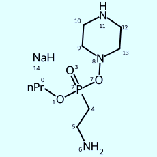 CCCOP(=O)(CCN)ON1CCNCC1.[NaH]